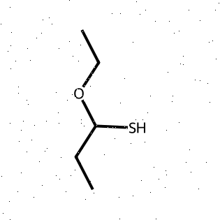 CCOC(S)CC